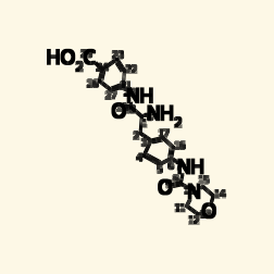 N[C@@H](Cc1ccc(NC(=O)N2CCOCC2)cc1)C(=O)Nc1ccc(C(=O)O)cc1